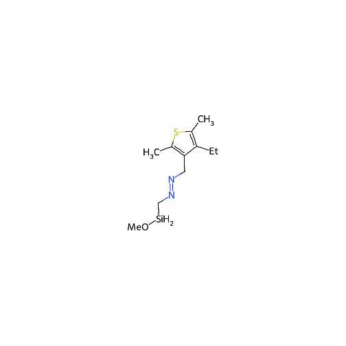 CCc1c(C)sc(C)c1CN=NC[SiH2]OC